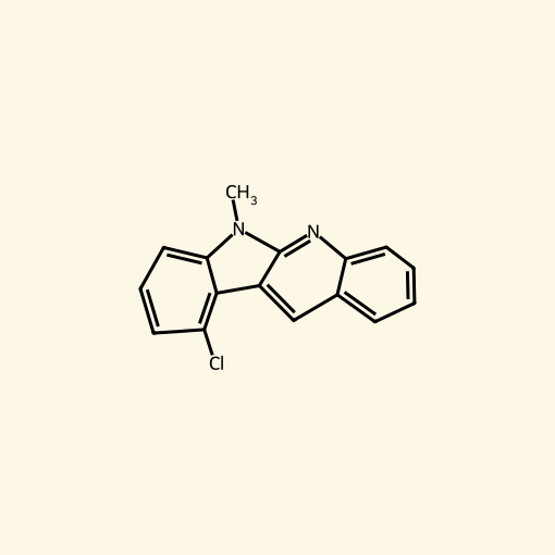 Cn1c2cccc(Cl)c2c2cc3ccccc3nc21